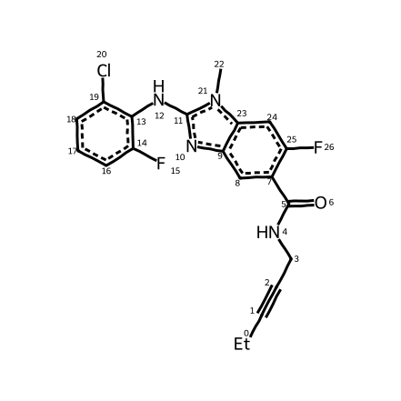 CCC#CCNC(=O)c1cc2nc(Nc3c(F)cccc3Cl)n(C)c2cc1F